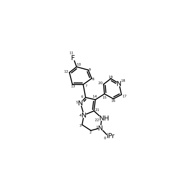 CC(C)N1CCn2nc(-c3ccc(F)cc3)c(-c3ccncc3)c2N1